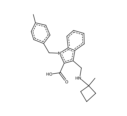 Cc1ccc(Cn2c(C(=O)O)c(CNC3(C)CCC3)c3ccccc32)cc1